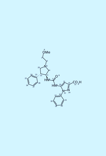 COCCN1C[C@@H](NC(=O)Nc2cc(C(=O)O)nn2-c2ccccc2)[C@H](c2ccccc2)C1